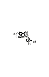 COc1cc(C)ccc1-c1cnc2sc(N3CCNC(CO)C3)nn12